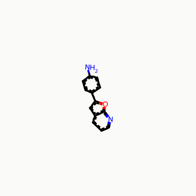 Nc1ccc(-c2cc3cccnc3o2)cc1